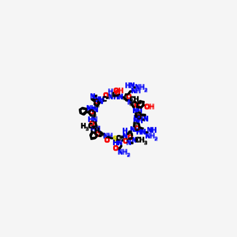 CC(C)[C@@H]1NC(=O)[C@H](Cc2ccccc2)NC(=O)CSC[C@@H](C(=O)NCC(N)=O)NC(=O)[C@H](Cc2cncn2C)NC(=O)[C@H](CCCNC(=N)N)NC(=O)[C@H](Cc2cnc[nH]2)NC(=O)[C@H](Cc2ccc(O)cc2)N(C)C(=O)[C@H](CCCNC(=N)N)NC(=O)[C@H](CO)NC(=O)CNC(=O)[C@H](Cc2cnc[nH]2)NC(=O)[C@H](Cc2c[nH]c3ccccc23)NC1=O